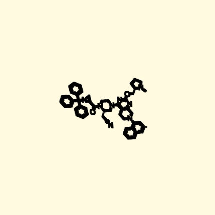 CN1CCC[C@H]1COc1nc2c(c(N3CCN(C(=O)C4CN4C(c4ccccc4)(c4ccccc4)c4ccccc4)[C@@H](CC#N)C3)n1)CCN(c1c[c]cc3ccccc13)C2